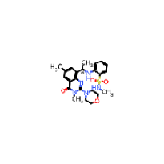 CNS(=O)(=O)c1ccccc1N[C@H](C)c1cc(C)cc2c(=O)n(C)c(N3CCOCC3)nc12